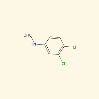 O=[C]Nc1ccc(Cl)c(Cl)c1